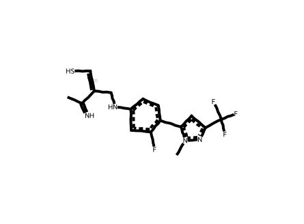 CC(=N)/C(=C\S)CNc1ccc(-c2cc(C(F)(F)F)nn2C)c(F)c1